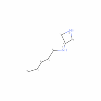 CCCCCNC1CNC1